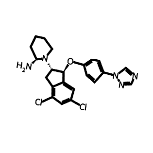 N[C@H]1CCCCN1[C@H]1Cc2c(Cl)cc(Cl)cc2[C@@H]1Oc1ccc(-n2cncn2)cc1